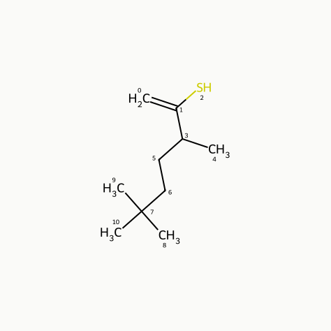 C=C(S)C(C)CCC(C)(C)C